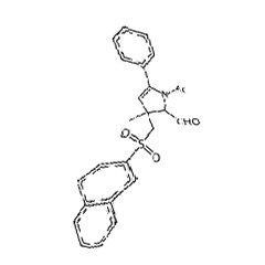 CC(=O)N1C(c2ccccc2)=CC(C)(CS(=O)(=O)c2ccc3ccccc3c2)C1C=O